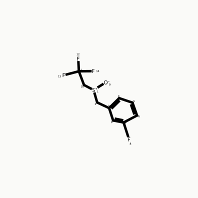 [O-][S+](Cc1cccc(F)c1)CC(F)(F)F